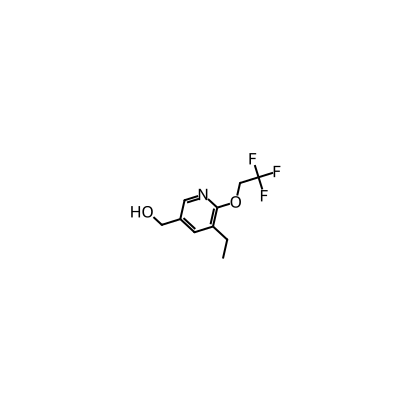 CCc1cc(CO)cnc1OCC(F)(F)F